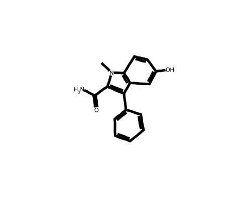 Cn1c(C(N)=O)c(-c2ccccc2)c2cc(O)ccc21